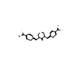 CN=C(N)C1=CCC(=CC2CSCC(/C=C3\C=CC(/C(N)=N/C)=CC3)C2=O)C=C1